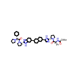 COC(=O)N[C@H](C(=O)N1CCC[C@H]1c1ncc(-c2ccc3cc(-c4ccc5nc([C@@H]6CCCN6C(=O)[C@@H](c6ccccc6)N6CCCC6)[nH]c5c4)ccc3c2)[nH]1)C(C)C